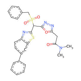 CN(C)C(=O)Cc1nnc(C(c2nc3ccc(-c4ccccc4)cc3s2)S(=O)(=O)Cc2ccccc2)o1